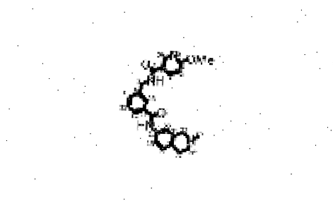 COc1ccc(C(=O)NCc2cccc(C(=O)Nc3ccc4c(c3)CN(C)CC4)c2)cn1